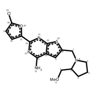 COCC1CCCN1Cc1cc2c(N)nc(-c3ccc(Cl)o3)nc2s1